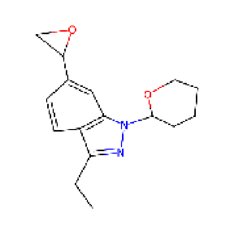 CCc1nn(C2CCCCO2)c2cc(C3CO3)ccc12